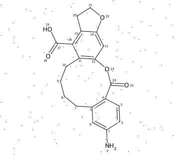 Nc1ccc2c(c1)CCCCc1c(cc3c(c1C(=O)O)CCO3)OC2=O